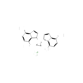 Cc1ccc(C)c2c1C=C[CH]2[Ti+2]1([CH]2C=Cc3c(C)ccc(C)c32)[CH2][CH2]1.[Cl-].[Cl-]